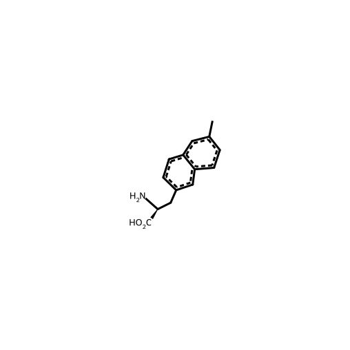 Cc1ccc2cc(C[C@H](N)C(=O)O)ccc2c1